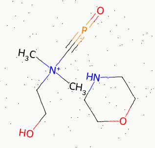 C1COCCN1.C[N+](C)(C#P=O)CCO